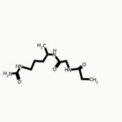 CCC(=O)NCC(=O)NC(C)CCCNC(N)=O